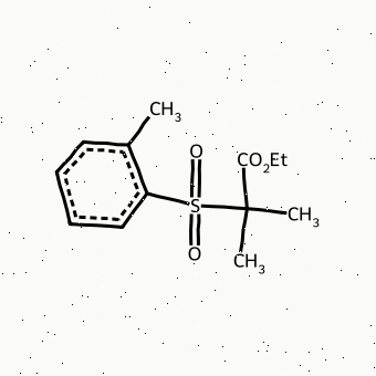 CCOC(=O)C(C)(C)S(=O)(=O)c1ccccc1C